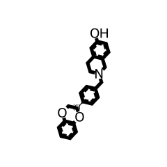 Oc1ccc2c(c1)CCN(Cc1ccc([C@H]3COc4ccccc4O3)cc1)C2